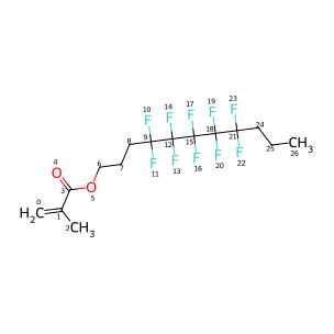 C=C(C)C(=O)OCCCC(F)(F)C(F)(F)C(F)(F)C(F)(F)C(F)(F)CCC